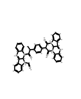 CC(C(=O)N1c2ccccc2N=C2c3ccccc3N(C=O)C21)c1ccc(C2C(=O)N3c4ccccc4N=C4c5ccccc5N(C2=O)C43)cc1